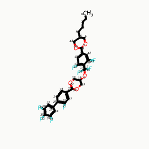 CCCCCC1COC(c2cc(F)c(C(F)(F)OC3COC(c4ccc(-c5cc(F)c(F)c(F)c5)c(F)c4)OC3)c(F)c2)OC1